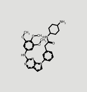 COc1cc(Nc2ncc3ccn(-c4cccc(CC(=O)NC5CCC(N)CC5)c4)c3n2)cc(OC)c1OC